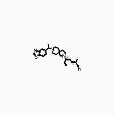 C=C/C(=C\C=C(/C)C#N)N1CCC2(CCN(C(C)c3ccc4scnc4c3)CC2)C1